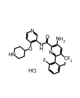 Cl.Nc1cc(C(F)(F)F)c(-c2c(F)cccc2F)nc1C(=O)Nc1cnccc1OC1CCNCC1